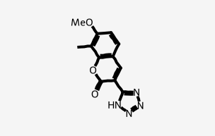 COc1ccc2cc(-c3nnn[nH]3)c(=O)oc2c1C